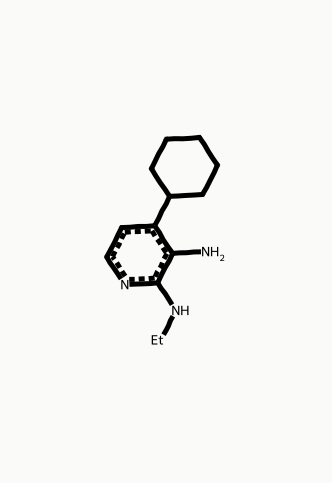 CCNc1nccc(C2CCCCC2)c1N